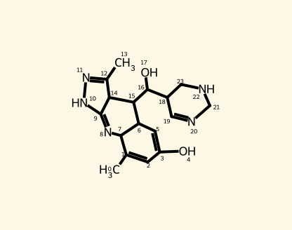 CC1=CC(O)=CC2C1N=C1NN=C(C)C1C2C(O)C1C=NCNC1